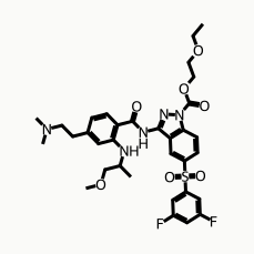 CCOCCOC(=O)n1nc(NC(=O)c2ccc(CCN(C)C)cc2NC(C)COC)c2cc(S(=O)(=O)c3cc(F)cc(F)c3)ccc21